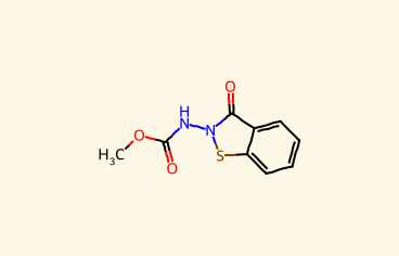 COC(=O)Nn1sc2ccccc2c1=O